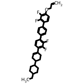 C=CCOc1ccc(-c2ccc(-c3ccc(C4=CCC(C5CCC(CC)CC5)CC4)c(F)c3F)cc2)c(F)c1F